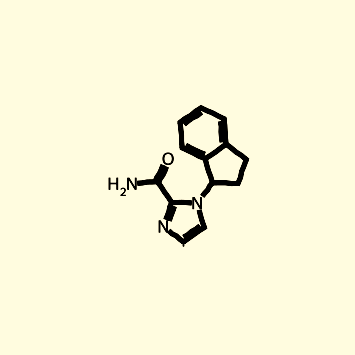 NC(=O)c1n[c]cn1C1CCc2ccccc21